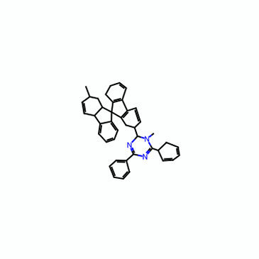 CC1C=CC2c3ccccc3C3(C4=C(C=CCC4)C4=C3CC(C3N=C(c5ccccc5)N=C(C5C=CC=CC5)N3C)C=C4)C2C1